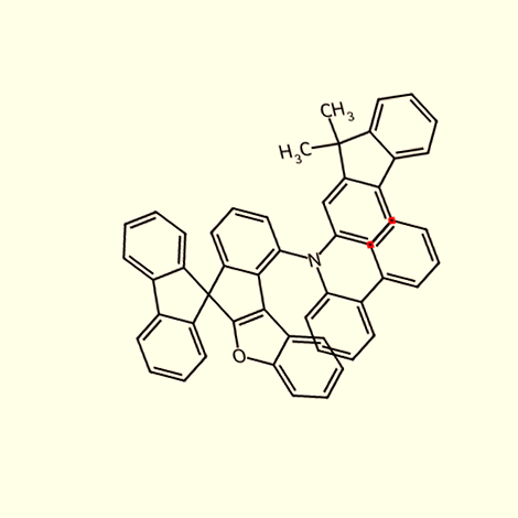 CC1(C)c2ccccc2-c2ccc(N(c3ccccc3-c3ccccc3)c3cccc4c3-c3c(oc5ccccc35)C43c4ccccc4-c4ccccc43)cc21